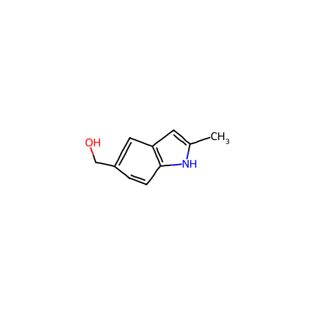 Cc1cc2cc(CO)ccc2[nH]1